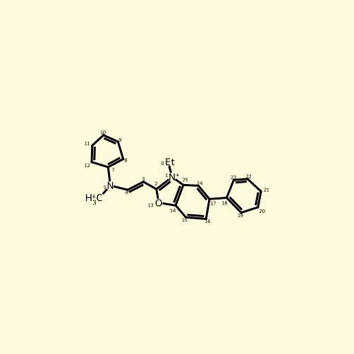 CC[n+]1c(/C=C/N(C)c2ccccc2)oc2ccc(-c3ccccc3)cc21